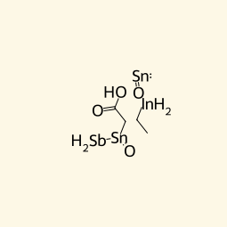 C[CH2][InH2].O=C(O)[CH2][Sn](=[O])[SbH2].[O]=[Sn]